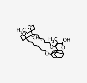 CCC1(CCCCCCOC(=C(C)C(=O)O)C23CC4CC(CC(OCCCCCCC5(CC)CCO5)(C4)C2)C3)CCO1